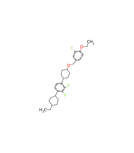 CCOc1ccc(COC2CCC(c3ccc(C4CCC(CC)CC4)c(F)c3F)CC2)cc1F